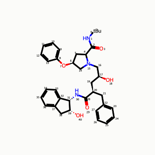 CC(C)(C)NC(=O)C1C[C@H](Oc2ccccc2)CN1C[C@@H](O)C[C@@H](Cc1ccccc1)C(=O)N[C@H]1c2ccccc2C[C@H]1O